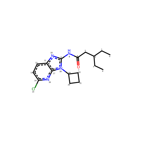 CCC(CC)CC(=O)Nc1nc2ccc(Cl)nc2n1C1CCC1